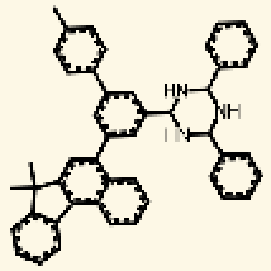 Cc1ccc(-c2cc(-c3cc4c(c5ccccc35)-c3ccccc3C4(C)C)cc(C3NC(c4ccccc4)NC(c4ccccc4)N3)c2)cc1